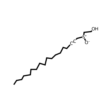 CCCCCCCCCCCCCCCCCC[S+]([O-])CCO